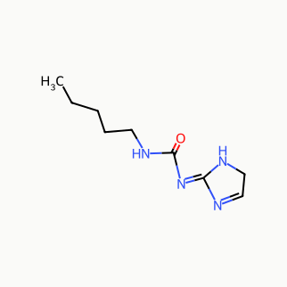 CCCCCNC(=O)N=C1N=CCN1